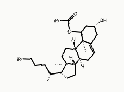 CC(C)CCC[C@@H](C)[C@H]1CC[C@H]2[C@@H]3CC=C4C[C@@H](O)CC(OC(=O)C(C)C)[C@]4(C)[C@H]3CC[C@]12C